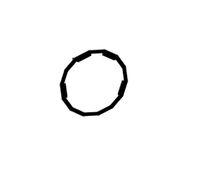 [C]1=CC=CCC=CCCCCC=CC1